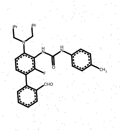 Cc1ccc(NC(=O)Nc2c(N(CC(C)C)CC(C)C)ccc(-c3ccccc3C=O)c2F)cc1